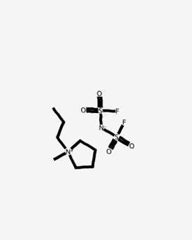 CCC[N+]1(C)CCCC1.O=S(=O)(F)[N-]S(=O)(=O)F